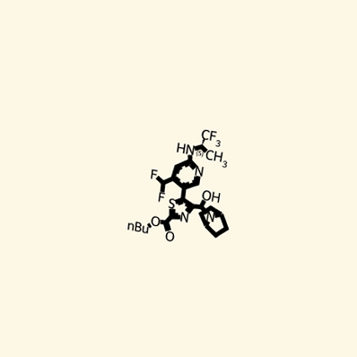 CCCCOC(=O)c1nc(C(O)N2C3CCC2CC3)c(-c2cnc(N[C@@H](C)C(F)(F)F)cc2C(F)F)s1